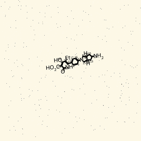 CCc1c(-c2ccc(N3C[C@H]4CC(N)C[C@H]4C3)cc2)[nH]c(=O)c(C(=O)O)c1O